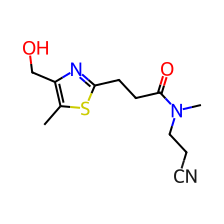 Cc1sc(CCC(=O)N(C)CCC#N)nc1CO